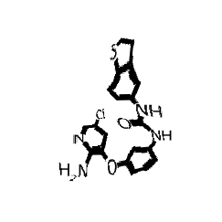 Nc1ncc(Cl)cc1Oc1cccc(NC(=O)Nc2ccc3sccc3c2)c1